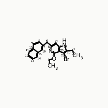 CCOc1nc(Cc2ccc3ccccc3c2)cc2[nH]c(CC)c(Br)c12